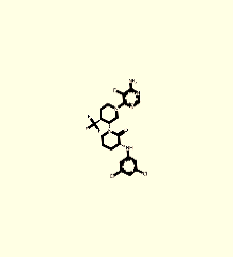 Nc1ncnc(N2CC[C@H](C(F)(F)F)[C@@H](N3CCC[C@@H](Nc4cc(Cl)cc(Cl)c4)C3=O)C2)c1F